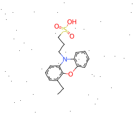 CCc1cccc2c1Oc1ccccc1N2CCCS(=O)(=O)O